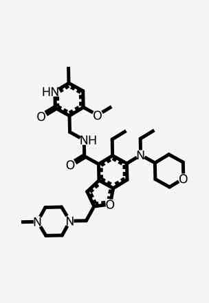 CCc1c(N(CC)C2CCOCC2)cc2oc(CN3CCN(C)CC3)cc2c1C(=O)NCc1c(OC)cc(C)[nH]c1=O